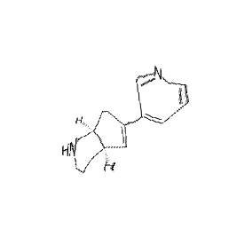 C1=C(c2cccnc2)C[C@@H]2NC[C@H]12